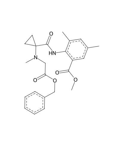 COC(=O)c1cc(C)cc(C)c1NC(=O)C1(N(C)CC(=O)OCc2ccccc2)CC1